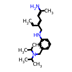 C=C/C(=C\C=C(/C)N)CNc1cccc(CN(C(C)C)C(C)C)c1